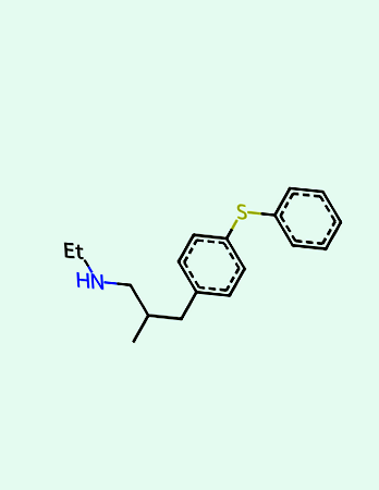 CCNCC(C)Cc1ccc(Sc2ccccc2)cc1